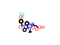 O=C(O)Cc1nnc(N(C2CC2)C2c3ccccc3N(C(=O)c3ccc(OC(F)(F)F)cc3)C3CCCC32)o1